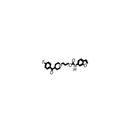 O=C(Nc1ccc2ccoc2c1)OCCCN1CCC(C(=O)c2ccc(F)cc2)CC1